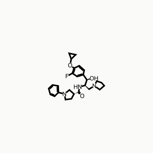 O=C(N[C@H](CN1CCCC1)[C@H](O)c1ccc(OC2CC2)c(F)c1)[C@@H]1CCN(c2ccccc2)C1